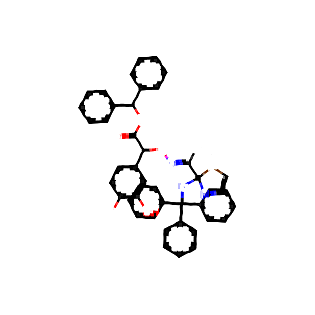 O=C(O)/C(=N\OC(C(=O)OC(c1ccccc1)c1ccccc1)c1ccc(O)c(O)c1)C1(NC(c2ccccc2)(c2ccccc2)c2ccccc2)NC=CS1